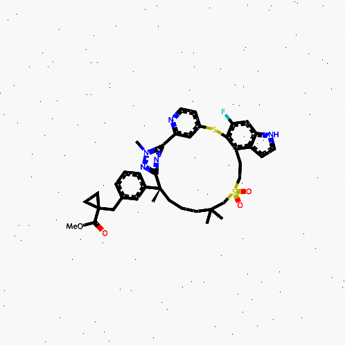 COC(=O)C1(Cc2cccc([C@@]3(C)CCCC(C)(C)CS(=O)(=O)CCc4c(c(F)cc5[nH]ccc45)Sc4ccnc(c4)-c4nc3nn4C)c2)CC1